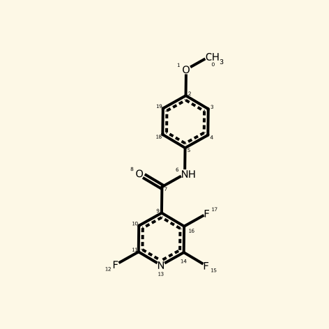 COc1ccc(NC(=O)c2cc(F)nc(F)c2F)cc1